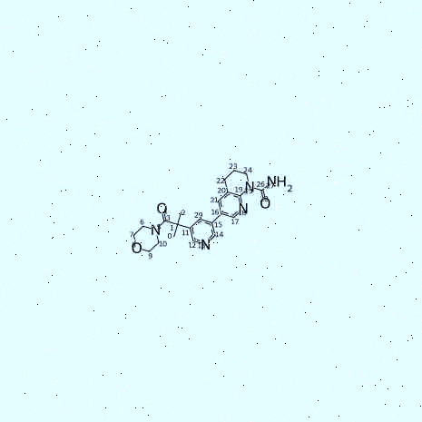 CC(C)(C(=O)N1CCOCC1)c1cncc(-c2cnc3c(c2)CCCN3C(N)=O)c1